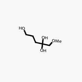 COCC(O)(O)CCCO